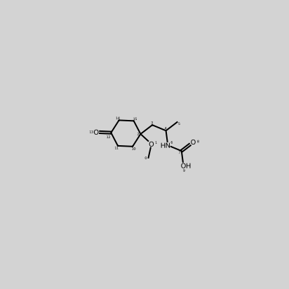 COC1(CC(C)NC(=O)O)CCC(=O)CC1